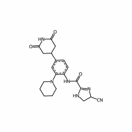 N#CC1CNC(C(=O)Nc2ccc(C3CC(=O)NC(=O)C3)cc2N2CCCCC2)=N1